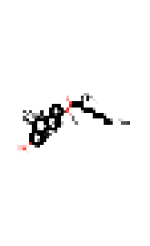 CCCCCCCCCCCCCCCC(C)C(=O)O[C@H]1CC[C@H]2[C@@H]3C[C@@H](COC)c4cc(O)ccc4[C@H]3CC[C@]12C